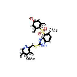 COc1ccc2[nH]c(SCc3ncc(C)c(OC)c3C)nc2c1S(=O)(=O)c1c(C)cc([O])cc1C